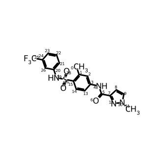 Cc1cc(NC(=O)c2ccn(C)n2)ccc1S(=O)(=O)Nc1cccc(C(F)(F)F)c1